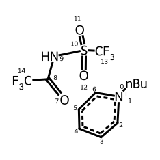 CCCC[n+]1ccccc1.O=C(NS(=O)(=O)C(F)(F)F)C(F)(F)F